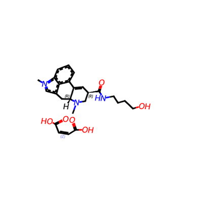 CN1C[C@H](C(=O)NCCCCO)C=C2c3cccc4c3c(cn4C)C[C@H]21.O=C(O)/C=C\C(=O)O